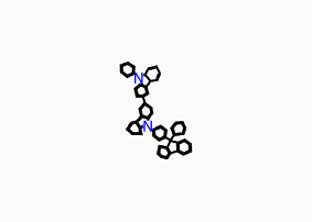 C1=CC2c3cc(-c4ccc5c(c4)c4ccccc4n5-c4ccc(C5(c6ccccc6)c6ccccc6-c6ccccc65)cc4)ccc3N(c3ccccc3)C2C=C1